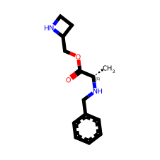 C[C@H](NCc1ccccc1)C(=O)OCC1CCN1